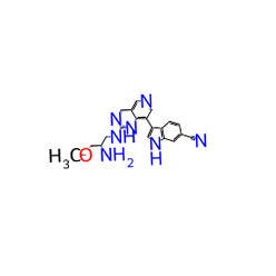 COCC(N)CNc1ncc2cncc(-c3c[nH]c4cc(C#N)ccc34)c2n1